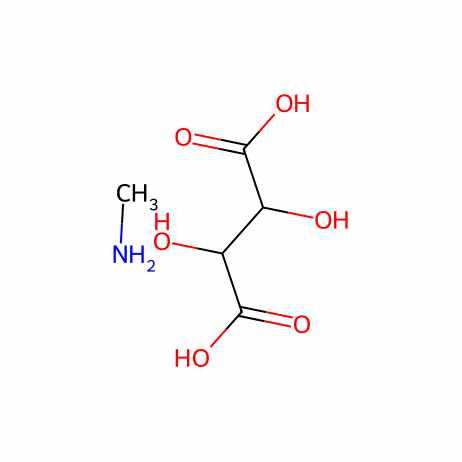 CN.O=C(O)C(O)C(O)C(=O)O